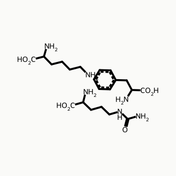 NC(=O)NCCCC(N)C(=O)O.NC(Cc1ccccc1)C(=O)O.NCCCCC(N)C(=O)O